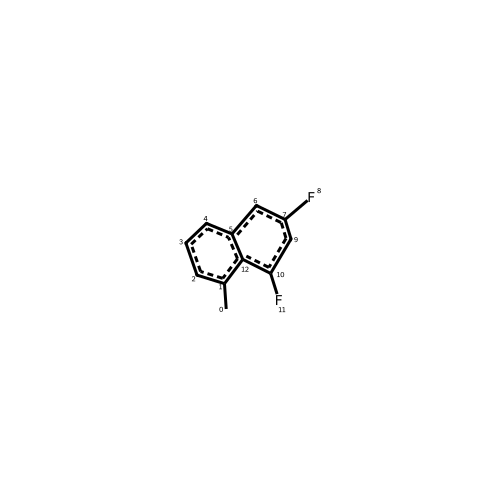 Cc1cccc2cc(F)cc(F)c12